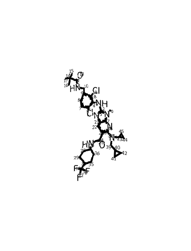 Cn1c(Nc2c(Cl)ccc(CNC(=O)C(C)(C)C)c2Cl)nc2cc(C(=O)NC3CCC(C(F)(F)F)CC3)c(N(CC3CC3)C3CC3)nc21